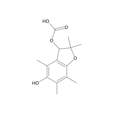 Cc1c(C)c2c(c(C)c1O)C(OC(=O)O)C(C)(C)O2